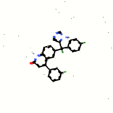 Cn1cncc1C(Cl)(c1ccc(Cl)cc1)c1ccc2c(c1)c(-c1cccc(Cl)c1)cc(=O)n2C